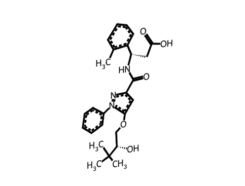 Cc1ccccc1[C@H](CC(=O)O)NC(=O)c1cc(OC[C@H](O)C(C)(C)C)n(-c2ccccc2)n1